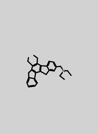 CCc1c(CC)c2c(c3c1Cc1ccccc1-3)Cc1cc(CN(CC)CC)ccc1-2